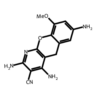 COc1cc(N)cc2c1Oc1nc(N)c(C#N)c(N)c1C2